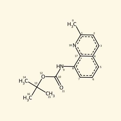 Cc1ccc2cccc(NC(=O)OC(C)(C)C)c2n1